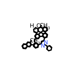 Cc1cc2ccccc2cc1/C=C\Cc1ccc2c(c1)-c1c(-c3cc(-c4ccccc4)nc(C4=CCCC=C4)n3)cccc1C21C2=C(CCC=C2)C(C)(C)c2ccccc21